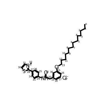 CCCCCCCCCCCCCCOc1cccc(CC(=O)Nc2ccc(-c3scc[n+]3C)cc2)c1.[Cl-]